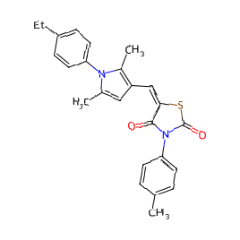 CCc1ccc(-n2c(C)cc(C=C3SC(=O)N(c4ccc(C)cc4)C3=O)c2C)cc1